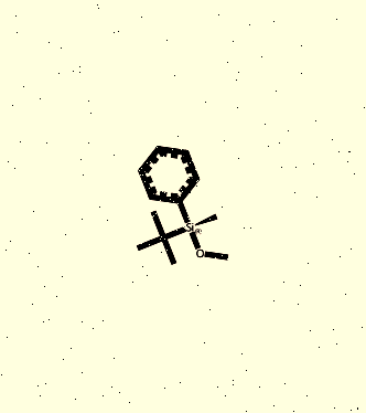 CO[Si@@](C)(c1ccccc1)C(C)(C)C